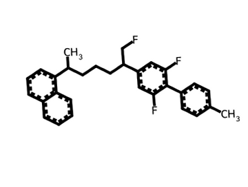 Cc1ccc(-c2c(F)cc(C(CF)CCCC(C)c3cccc4ccccc34)cc2F)cc1